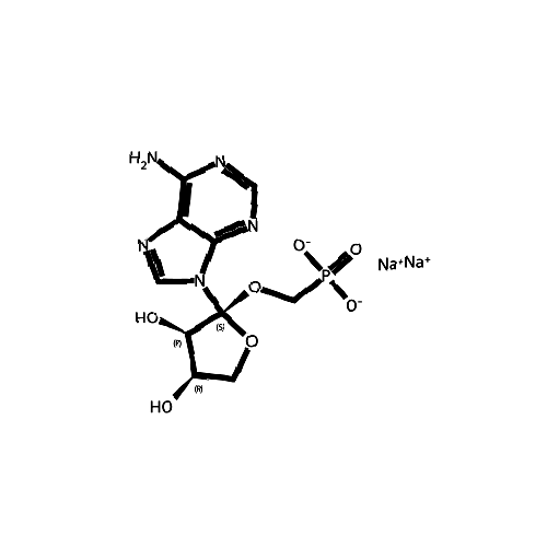 Nc1ncnc2c1ncn2[C@]1(OCP(=O)([O-])[O-])OC[C@@H](O)[C@H]1O.[Na+].[Na+]